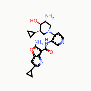 Nc1oc2cc(C3CC3)cnc2c1C(=O)Nc1cnccc1N1C[C@@H](N)[C@H](O)[C@@H](C2CC2)C1